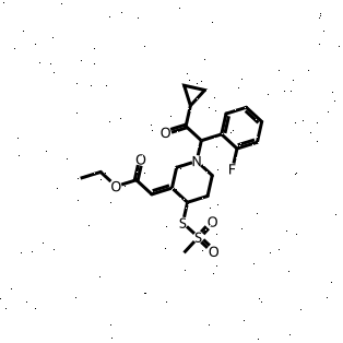 CCOC(=O)C=C1CN(C(C(=O)C2CC2)c2ccccc2F)CCC1SS(C)(=O)=O